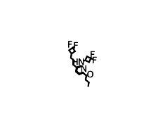 CCCC(=O)c1ccc(CCCC2CC(F)(F)C2)c(NC2CC(F)(F)C2)n1